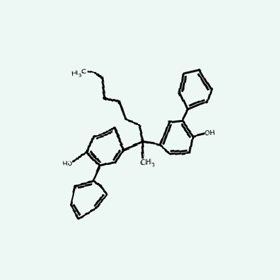 CCCCCCC(C)(c1ccc(O)c(-c2ccccc2)c1)c1ccc(O)c(-c2ccccc2)c1